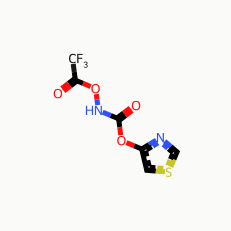 O=C(NOC(=O)C(F)(F)F)Oc1cscn1